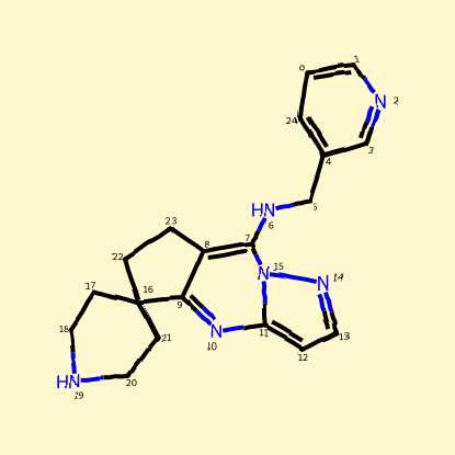 c1cncc(CNc2c3c(nc4ccnn24)C2(CCNCC2)CC3)c1